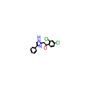 O=C(Cc1nc(-c2ccccc2)c[nH]1)c1ccc(Cl)cc1Cl